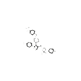 CS(=O)(=O)c1ccc(CN2CCC(c3c(C(=O)N4C[C@H](c5ccc(F)cc5)C(F)(F)C4)cnn3-c3ccc(F)cc3)CC2)cc1